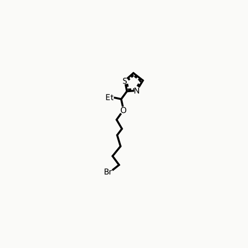 CCC(OCCCCCCBr)c1nccs1